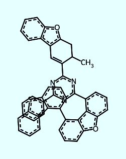 CC1Cc2oc3ccccc3c2C=C1c1nc(-c2ccccc2)nc(-c2cccc3oc4cccc(-c5cccc6sc7ccccc7c56)c4c23)n1